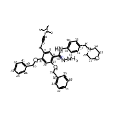 C[Si](C)(C)C#CCc1cc(/C(=N/N)Nc2ccc(CN3CCOCC3)cc2)c(OCc2ccccc2)cc1OCc1ccccc1